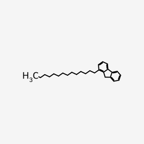 CCCCCCCCCCCCCCc1cccc2c1Cc1ccccc1-2